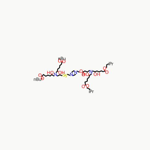 CCCCOC(=O)CCCCC(O)CN(CCCSSCCN1CCN(CCOC(=O)CCCN(CC(O)CCCCC(=O)OCCC(C)C)CC(O)CCCCC(=O)OCCC(C)C)CC1)CC(O)CCCCC(=O)OCCCC